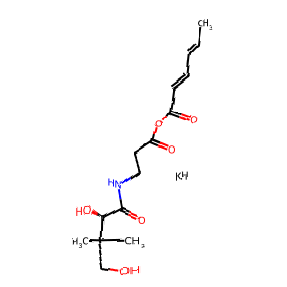 C/C=C/C=C/C(=O)OC(=O)CCNC(=O)[C@H](O)C(C)(C)CO.[KH]